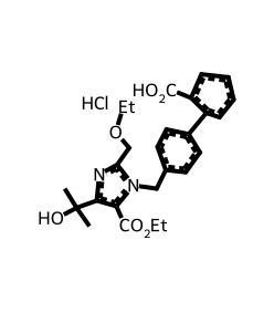 CCOCc1nc(C(C)(C)O)c(C(=O)OCC)n1Cc1ccc(-c2ccccc2C(=O)O)cc1.Cl